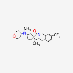 CC1C2Cc3ccc(C(F)(F)F)cc3CN2C(=O)[C@]12CC[C@@H](N(C)C1CCOCC1)C2